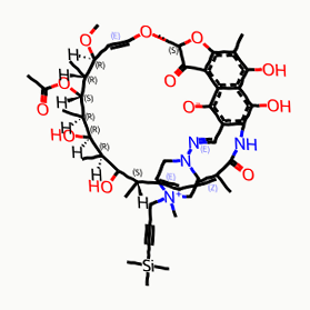 CO[C@H]1/C=C/O[C@@]2(C)Oc3c(C)c(O)c4c(O)c(c(/C=N/N5CC[N+](C)(CC#C[Si](C)(C)C)CC5)c([O-])c4c3C2=O)NC(=O)/C(C)=C\C=C\[C@H](C)C(O)[C@@H](C)[C@@H](O)[C@@H](C)[C@H](OC(C)=O)[C@@H]1C